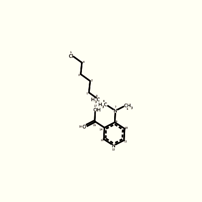 CCCCCCl.CN(C)c1ccncc1C(=O)O